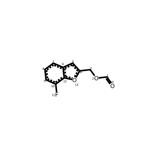 O=[C]OCc1cc2cccc(F)c2o1